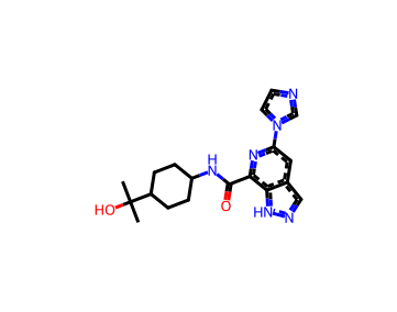 CC(C)(O)C1CCC(NC(=O)c2nc(-n3ccnc3)cc3cn[nH]c23)CC1